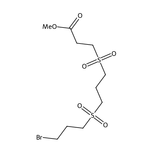 COC(=O)CCS(=O)(=O)CCCS(=O)(=O)CCCBr